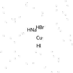 Br.I.[Cu].[NaH]